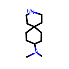 CN(C)C1CCC2(CCNCC2)CC1